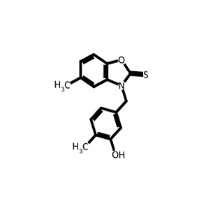 Cc1ccc2oc(=S)n(Cc3ccc(C)c(O)c3)c2c1